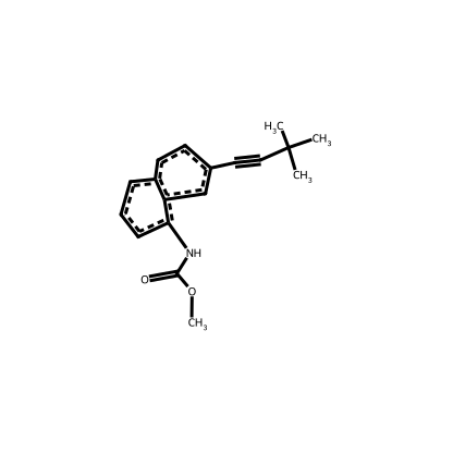 COC(=O)Nc1cccc2ccc(C#CC(C)(C)C)cc12